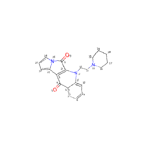 O=C1c2c(c(=O)c3ccccc3n2CCN2CCCCC2)-c2cccn21